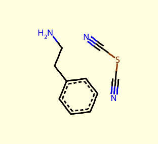 N#CSC#N.NCCc1ccccc1